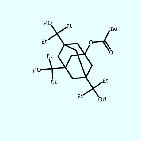 CCC(C)C(=O)OC12CC3(C(O)(CC)CC)CC(C(O)(CC)CC)(C1)CC(C(O)(CC)CC)(C2)C3